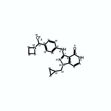 O=c1[nH]ccc2c1c(Nc1ccc(C(N3CCC3)C(F)(F)F)cc1)nn2CC1CC1